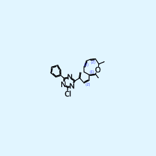 C=C(/C=C\C1=C(/C)OC(C)/C=C\C=C/C1)c1nc(Cl)nc(-c2ccccc2)n1